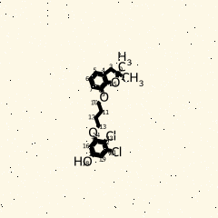 CC1(C)Cc2cccc(OCCCCOc3cc(O)cc(Cl)c3Cl)c2O1